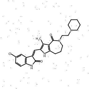 Cc1c(C=C2C(=O)Nc3ccc(Cl)cc32)[nH]c2c1C(=O)N(CCN1CCCCC1)CCC2